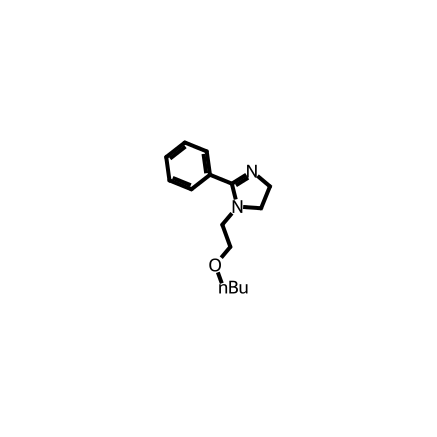 CCCCOCCN1CCN=C1c1ccccc1